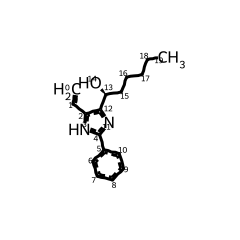 C=Cc1[nH]c(-c2ccccc2)nc1[C@@H](O)CCCCC